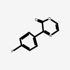 O=c1occnc1-c1ccc(F)cc1